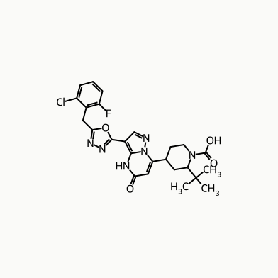 CC(C)(C)C1CC(c2cc(=O)[nH]c3c(-c4nnc(Cc5c(F)cccc5Cl)o4)cnn23)CCN1C(=O)O